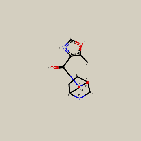 Cc1ocnc1C(=O)N1CC2CCC(C1)NC2